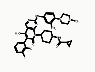 Cc1cc(Nc2ncc3c(C)c(-c4cccc(F)c4Cl)c(=O)n(C4CCC(NC(=O)C5CC5)CC4)c3n2)ccc1N1CCN(C)CC1